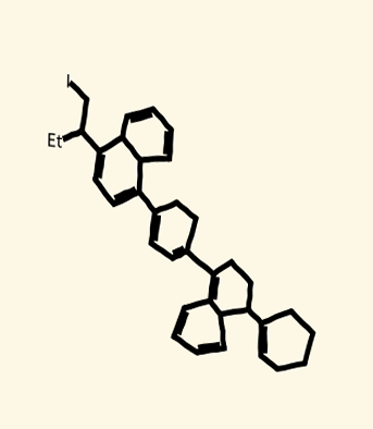 CCC(CI)C1=CC=C(C2=CC=C(C3=C4C=CC=CC4C(C4=CCCCC4)CC3)CC2)C2C=CC=CC12